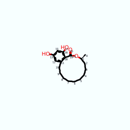 C[C@H]1CCCCCCCCCc2cc(O)cc(O)c2C(=O)O1